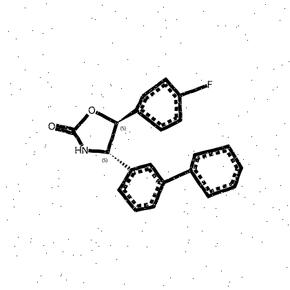 O=C1N[C@@H](c2cccc(-c3ccccc3)c2)[C@H](c2ccc(F)cc2)O1